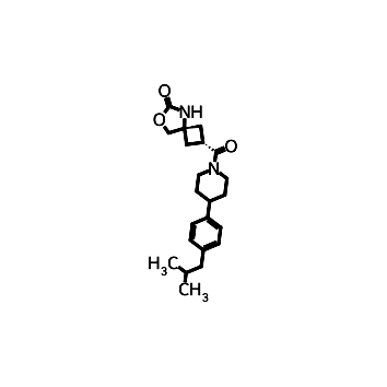 CC(C)Cc1ccc(C2CCN(C(=O)[C@H]3C[C@]4(COC(=O)N4)C3)CC2)cc1